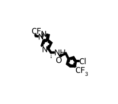 C[C@@H](NC(=O)Cc1ccc(C(F)(F)F)c(Cl)c1)c1cc2cnn(CC(F)(F)F)c2cn1